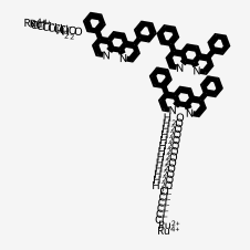 O.O.O.O.O.O.O.O.O.O.O.O.O.O.O.[Cl-].[Cl-].[Cl-].[Cl-].[Cl-].[Cl-].[Cl-].[Cl-].[Cl-].[Cl-].[Cl-].[Cl-].[Ru+2].[Ru+4].[Ru+4].[Ru+4].c1ccc(-c2ccnc3c2ccc2c(-c4ccccc4)ccnc23)cc1.c1ccc(-c2ccnc3c2ccc2c(-c4ccccc4)ccnc23)cc1.c1ccc(-c2ccnc3c2ccc2c(-c4ccccc4)ccnc23)cc1